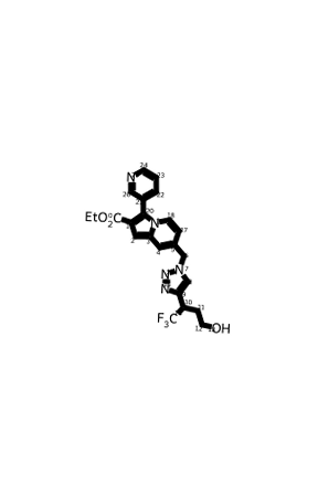 CCOC(=O)c1cc2cc(Cn3cc(C(CCO)C(F)(F)F)nn3)ccn2c1-c1cccnc1